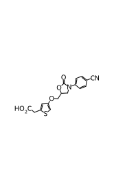 N#Cc1ccc(N2CC(COc3csc(CC(=O)O)c3)OC2=O)cc1